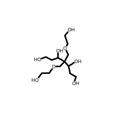 OCCOCC(COCCO)(C(O)CCO)C(O)CCO